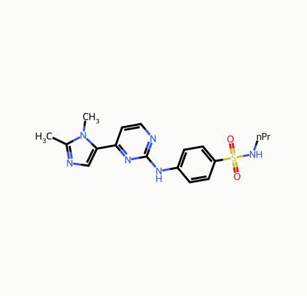 CCCNS(=O)(=O)c1ccc(Nc2nccc(-c3cnc(C)n3C)n2)cc1